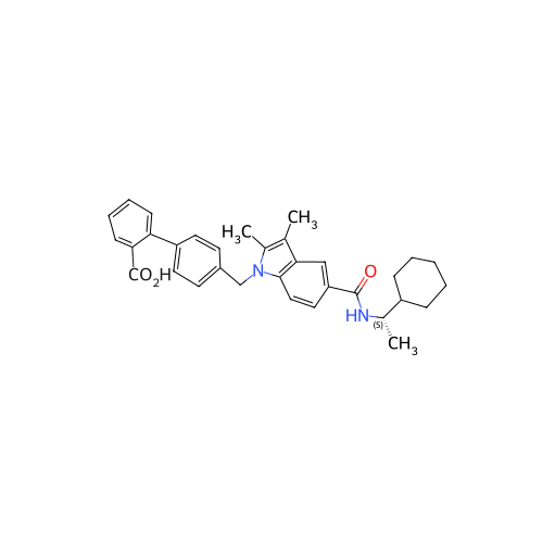 Cc1c(C)n(Cc2ccc(-c3ccccc3C(=O)O)cc2)c2ccc(C(=O)N[C@@H](C)C3CCCCC3)cc12